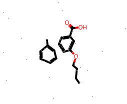 CCCCOc1cccc(C(=O)O)c1.Cc1ccccc1